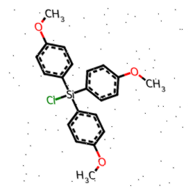 COc1ccc([Si](Cl)(c2ccc(OC)cc2)c2ccc(OC)cc2)cc1